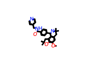 COc1cc2c(c3c1OC(C)(C)C3)C(c1ccc(C(=O)NCc3ccncc3)cc1)=NC(C)(C)C2